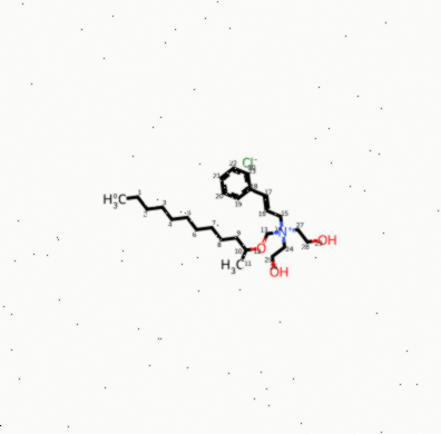 CCCCCCCCCCC(C)OC[N+](CC=Cc1ccccc1)(CCO)CCO.[Cl-]